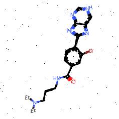 CCN(CC)CCCNC(=O)c1ccc(-c2nc3c[nH]cnc-3n2)c(Br)c1